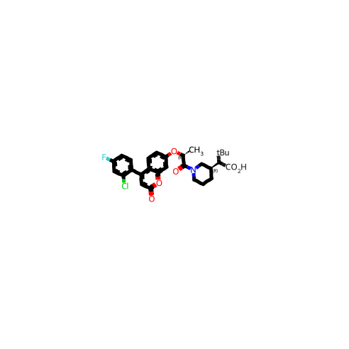 C[C@@H](Oc1ccc2c(-c3ccc(F)cc3Cl)cc(=O)oc2c1)C(=O)N1CCC[C@H](C(C(=O)O)C(C)(C)C)C1